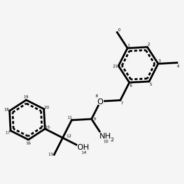 Cc1cc(C)cc(COC(N)CC(C)(O)c2ccccc2)c1